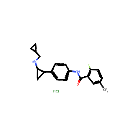 Cl.O=C(Nc1ccc(C2CC2NCC2CC2)cc1)c1cc(C(F)(F)F)ccc1F